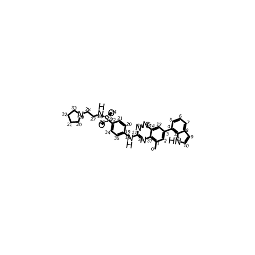 Cc1cc(-c2cccc3cc[nH]c23)cc2nnc(Nc3ccc(S(=O)(=O)NCCN4CCCC4)cc3)nc12